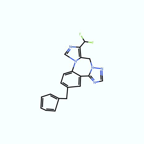 FC(F)c1ncn2c1Cn1ncnc1-c1cc(Cc3ccccc3)ccc1-2